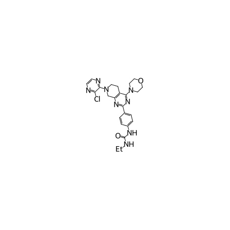 CCNC(=O)Nc1ccc(-c2nc3c(c(N4CCOCC4)n2)CCN(c2nccnc2Cl)C3)cc1